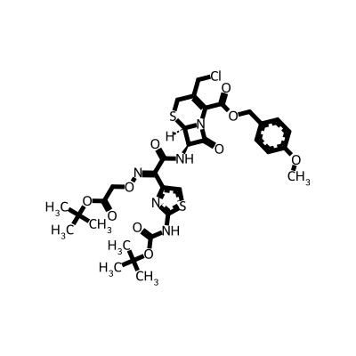 COc1ccc(COC(=O)C2=C(CCl)CS[C@@H]3[C@H](NC(=O)/C(=N/OCC(=O)OC(C)(C)C)c4csc(NC(=O)OC(C)(C)C)n4)C(=O)N23)cc1